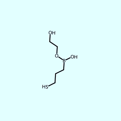 OCCOB(O)CCCS